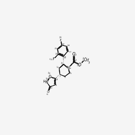 COC(=O)N1CC[C@H](c2cc(=O)[nH]o2)C[C@@H]1c1ccc(F)cc1F